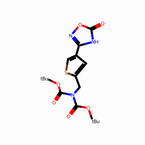 CC(C)(C)OC(=O)N(Cc1cc(-c2noc(=O)[nH]2)cs1)C(=O)OC(C)(C)C